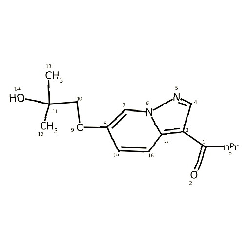 CCCC(=O)c1cnn2cc(OCC(C)(C)O)ccc12